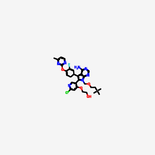 Cc1ccnc(OC2=CCC(c3c(-c4cnc(Cl)cc4OCCO)n(COCC[Si](C)(C)C)c4ncnc(N)c34)C=C2F)n1